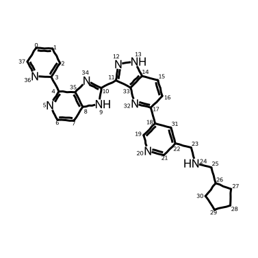 c1ccc(-c2nccc3[nH]c(-c4n[nH]c5ccc(-c6cncc(CNCC7CCCC7)c6)nc45)nc23)nc1